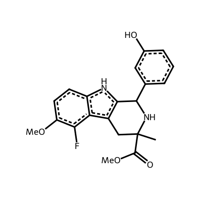 COC(=O)C1(C)Cc2c([nH]c3ccc(OC)c(F)c23)C(c2cccc(O)c2)N1